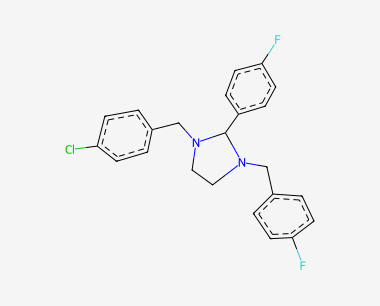 Fc1ccc(CN2CCN(Cc3ccc(Cl)cc3)C2c2ccc(F)cc2)cc1